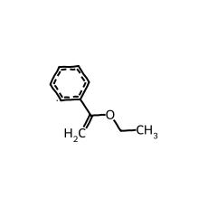 C=C(OCC)c1[c]cccc1